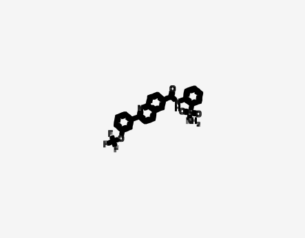 NS(=O)(=O)c1ccccc1NC(=O)c1ccc2nc(-c3cccc(OC(F)(F)F)c3)ccc2c1